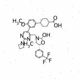 COc1ccc(C2CCC(C(=O)O)CC2)cc1-c1cnc(N2CCC2)nc1CN1C(O)O[C@H](c2cccc(C(F)(F)F)c2)[C@@H]1C